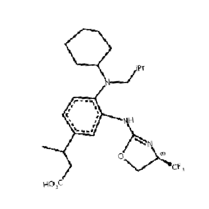 CC(C)CN(c1ccc(C(C)CC(=O)O)cc1NC1=N[C@@H](C(F)(F)F)CO1)C1CCCCC1